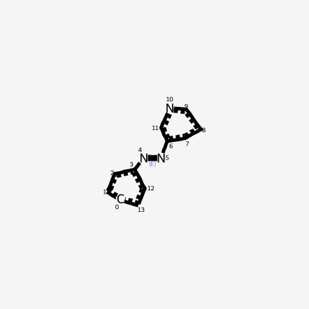 [c]1ccc(/N=N/c2cccnc2)cc1